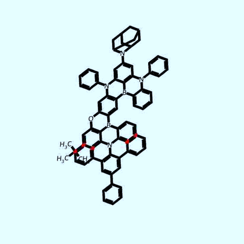 CC(C)(C)c1cc2c3c(c1)N(c1c(-c4ccccc4)cc(-c4ccccc4)cc1-c1ccccc1)c1ccccc1B3c1cc3c(cc1O2)N(c1ccccc1)c1cc(N2C4CC5CC(C4)CC2C5)cc2c1B3c1ccccc1N2c1ccccc1